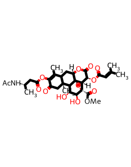 COC(=O)[C@@]12OC[C@]34C([C@@H](O)[C@@H]1O)[C@@]1(C)CC(=O)C(OC(=O)C[C@H](C)NC(C)=O)=C(C)C1C[C@H]3OC(=O)[C@H](OC(=O)C=C(C)C)[C@@H]24